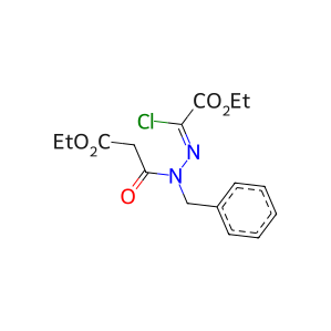 CCOC(=O)CC(=O)N(Cc1ccccc1)N=C(Cl)C(=O)OCC